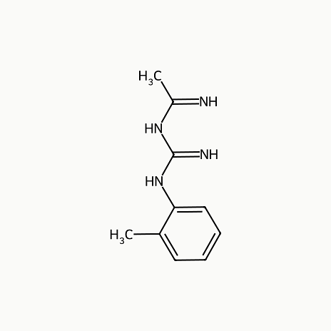 CC(=N)NC(=N)Nc1ccccc1C